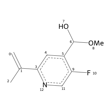 C=C(C)c1cc(C(O)OC)c(F)cn1